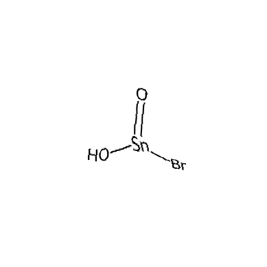 [O]=[Sn]([OH])[Br]